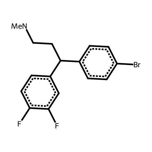 CNCCC(c1ccc(Br)cc1)c1ccc(F)c(F)c1